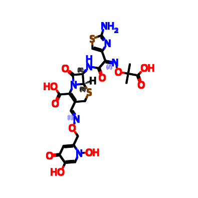 CC(C)(O/N=C(\C(=O)N[C@@H]1C(=O)N2C(C(=O)O)=C(/C=N/OCc3cc(=O)c(O)cn3O)CS[C@H]12)c1csc(N)n1)C(=O)O